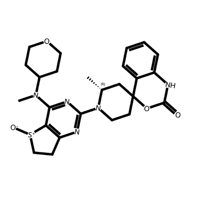 C[C@@H]1CC2(CCN1c1nc3c(c(N(C)C4CCOCC4)n1)[S+]([O-])CC3)OC(=O)Nc1ccccc12